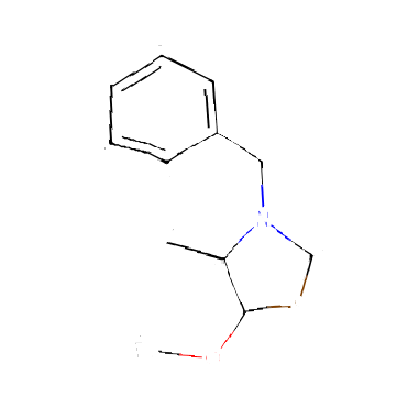 CCOC1SCN(Cc2ccccc2)C1C